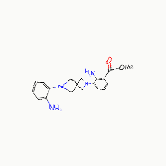 COC(=O)c1cccc(N2CC3(CN(c4ccccc4N)C3)C2)c1N